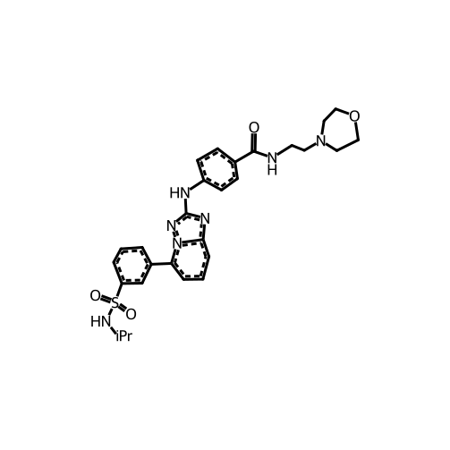 CC(C)NS(=O)(=O)c1cccc(-c2cccc3nc(Nc4ccc(C(=O)NCCN5CCOCC5)cc4)nn23)c1